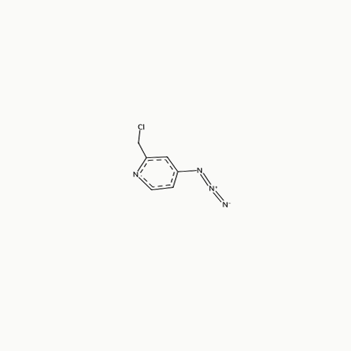 [N-]=[N+]=Nc1ccnc(CCl)c1